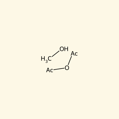 CC(=O)OC(C)=O.CO